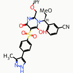 COC[C@@H](c1cccc(C#N)c1)n1c(COC(C)C)nc(=O)c(S(=O)(=O)c2ccc(-c3c[nH]nc3C)cc2)c1O